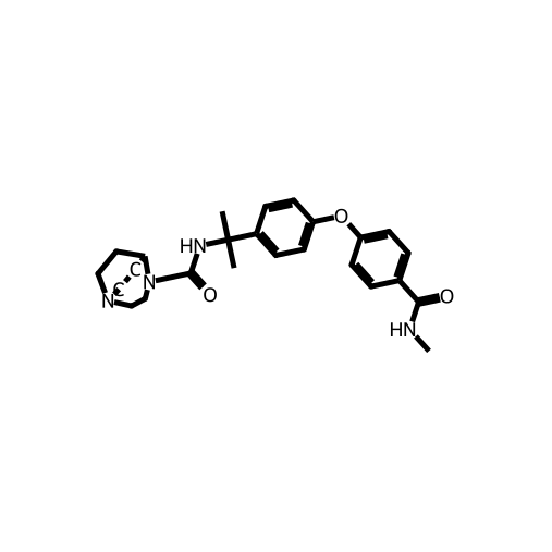 CNC(=O)c1ccc(Oc2ccc(C(C)(C)NC(=O)N3CCN4CCC3CC4)cc2)cc1